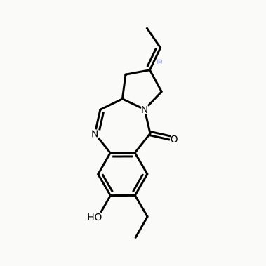 C/C=C1\CC2C=Nc3cc(O)c(CC)cc3C(=O)N2C1